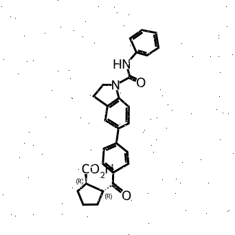 O=C(O)[C@@H]1CCC[C@H]1C(=O)c1ccc(-c2ccc3c(c2)CCN3C(=O)Nc2ccccc2)cc1